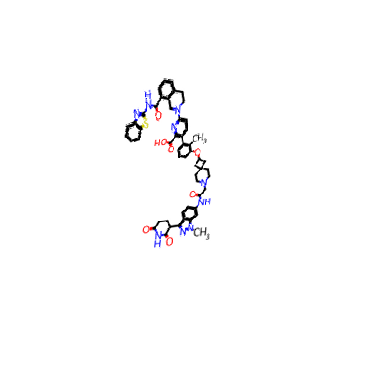 Cc1c(OC2CC3(CCN(CC(=O)Nc4ccc5c(C6CCC(=O)NC6=O)nn(C)c5c4)CC3)C2)cccc1-c1ccc(N2CCc3cccc(C(=O)Nc4nc5ccccc5s4)c3C2)nc1C(=O)O